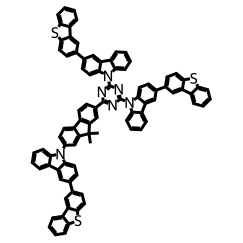 CC1(C)c2cc(-c3nc(-n4c5ccccc5c5cc(-c6ccc7sc8ccccc8c7c6)ccc54)nc(-n4c5ccccc5c5cc(-c6ccc7sc8ccccc8c7c6)ccc54)n3)ccc2-c2ccc(-n3c4ccccc4c4cc(-c5ccc6sc7ccccc7c6c5)ccc43)cc21